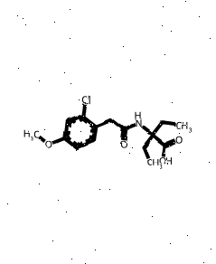 CCC(CC)(NC(=O)Cc1ccc(OC)cc1Cl)C(=O)O